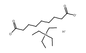 CC[N+](CC)(CC)CC.O=C([O-])CCCCCCCC(=O)[O-].[H+]